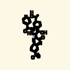 CC(O)c1ccc(C(O)/C(NNC(=O)c2ccncc2)=C2/N=c3ccc([N+](=O)[O-])cc3=NC2=O)cc1